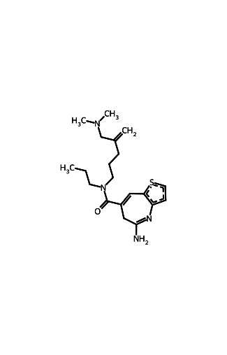 C=C(CCCN(CCC)C(=O)C1=Cc2sccc2N=C(N)C1)CN(C)C